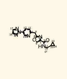 C[C@H](NC(=O)c1coc(Cc2ccc(-n3nccn3)cn2)n1)C1CC1